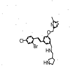 Cc1nc(COc2cc(/C=C/c3ccc(Cl)cc3Br)cc(CNCC3CCNC3)c2)cs1